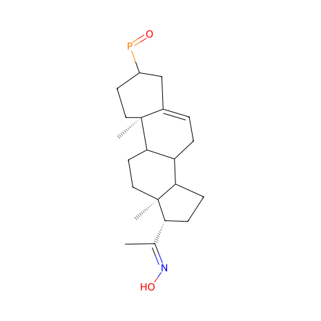 C/C(=N\O)[C@H]1CCC2C3CC=C4CC(P=O)CC[C@]4(C)C3CC[C@@]21C